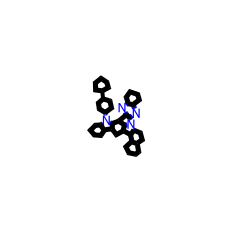 c1ccc(-c2ccc(-n3c4ccccc4c4cc5c6c7ccccc7ccc6n6c7nc8ccccc8nc7c(c43)c56)cc2)cc1